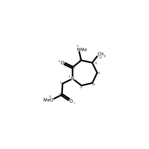 CNC1C(=O)N(CC(=O)OC)CCCC1C